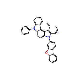 C=Cc1c(/C=C\C)n(-c2ccc3c(c2)oc2ccccc23)c2ccc3c(c4ccccc4n3-c3ccccc3)c12